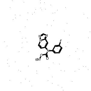 CC(C)(C)OC(=O)N(c1cccc(F)c1)c1ccn2ncnc2c1